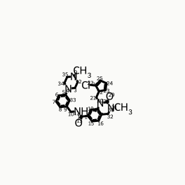 CN1CCN(c2cccc(CNC(=O)c3ccc4c(c3)N(CC3C=CC=C3Cl)C(=O)N(C)C4)c2)CC1